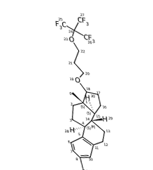 C[C@]12CC[C@@H]3c4ccc(O)cc4CC[C@H]3[C@@H]1CCC2OCCCOC(C(F)(F)F)(C(F)(F)F)C(F)(F)F